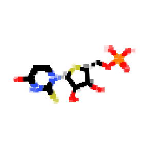 O=c1ccn([C@@H]2S[C@H](COP(=O)(O)O)[C@@H](O)[C@H]2O)c(=S)[nH]1